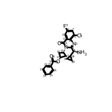 N[C@H](c1nc2c(Cl)cc(F)cc2c(=O)n1[C@H]1C[C@H](OC(=O)c2ccccc2)C1)C1CC1